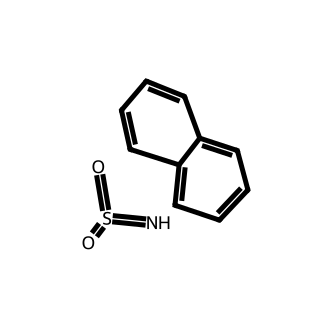 N=S(=O)=O.c1ccc2ccccc2c1